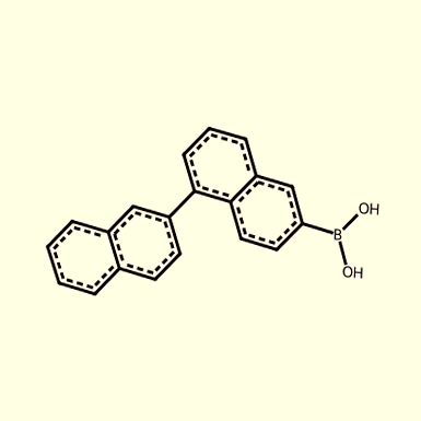 OB(O)c1ccc2c(-c3ccc4ccccc4c3)cccc2c1